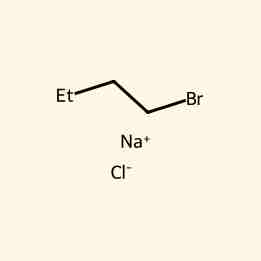 [CH2]CCCBr.[Cl-].[Na+]